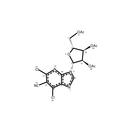 CC(=O)OC[C@H]1O[C@@H](n2cnc3c(Cl)c(C#N)c(Cl)nc32)[C@H](OC(C)=O)[C@@H]1OC(C)=O